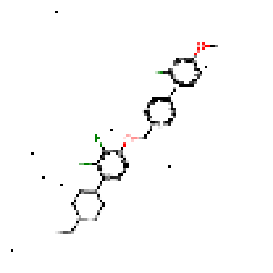 CCC1CCC(c2ccc(OCc3ccc(-c4ccc(OC)cc4F)cc3)c(F)c2F)CC1